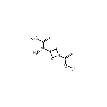 COC(=O)[C@@H](N)C1CN(C(=O)OC(C)(C)C)C1